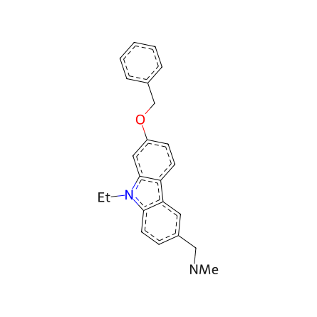 CCn1c2ccc(CNC)cc2c2ccc(OCc3ccccc3)cc21